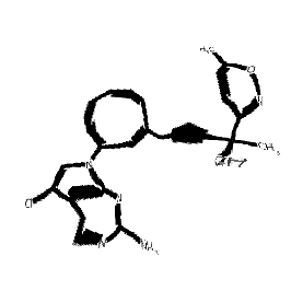 Cc1cc(C(C)(O)C#Cc2cccc(-n3cc(Cl)c4cnc(N)nc43)c2)no1